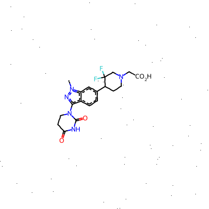 Cn1nc(N2CCC(=O)NC2=O)c2ccc(C3CCN(CC(=O)O)CC3(F)F)cc21